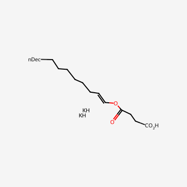 CCCCCCCCCCCCCCCCC=COC(=O)CCC(=O)O.[KH].[KH]